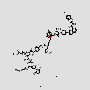 Cc1c(-c2ccc(-c3ccc4cccc(C(=O)Nc5nc6ccccc6s5)c4c3)nc2C(=O)O)cnn1CC12CC3(C)CC(C)(C1)CC(OCCN(CCS(=O)(=O)O)C(=O)OCc1ccc(NC(=O)[C@H](CCCNC(N)=O)NC(=O)[C@@H](NC(=O)CN4C(=O)[C@@H](N5C(=O)C=CC5=O)C[C@H]4COCCS(=O)(=O)O)C(C)C)cc1)(C3)C2